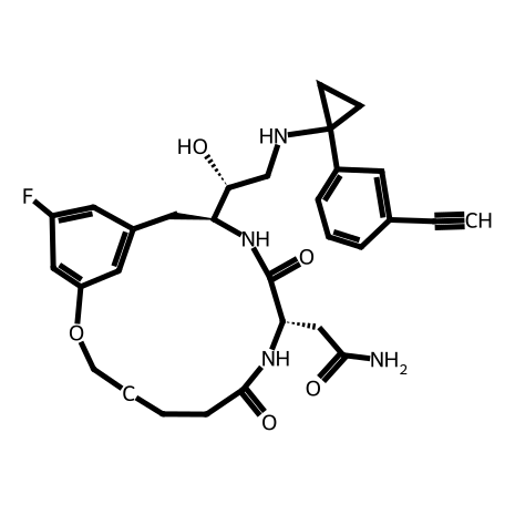 C#Cc1cccc(C2(NC[C@@H](O)[C@@H]3Cc4cc(F)cc(c4)OCCCCC(=O)N[C@@H](CC(N)=O)C(=O)N3)CC2)c1